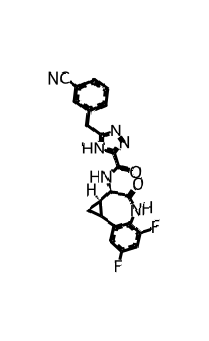 N#Cc1cccc(Cc2nnc(C(=O)N[C@H]3C(=O)Nc4c(F)cc(F)cc4C4C[C@H]43)[nH]2)c1